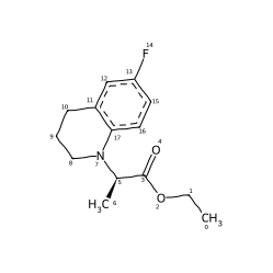 CCOC(=O)[C@@H](C)N1CCCc2cc(F)ccc21